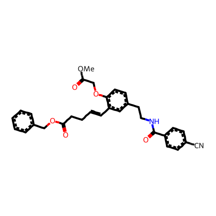 COC(=O)COc1ccc(CCNC(=O)c2ccc(C#N)cc2)cc1/C=C/CCC(=O)OCc1ccccc1